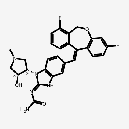 CN1C[C@H](O)[C@@H](n2c(=NC(N)=O)[nH]c3cc(C=C4c5ccc(F)cc5OCc5c(F)cccc54)ccc32)C1